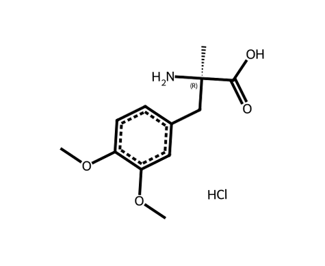 COc1ccc(C[C@@](C)(N)C(=O)O)cc1OC.Cl